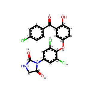 O=C(c1ccc(Cl)cc1)c1cc(Oc2c(Cl)cc(N3C(=O)CNC3=O)cc2Cl)ccc1O